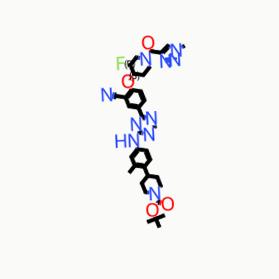 Cc1cc(Nc2ncnc(-c3ccc(O[C@H]4CCN(C(=O)c5cn(C)nn5)C[C@H]4F)c(C#N)c3)n2)ccc1C1CCN(C(=O)OC(C)(C)C)CC1